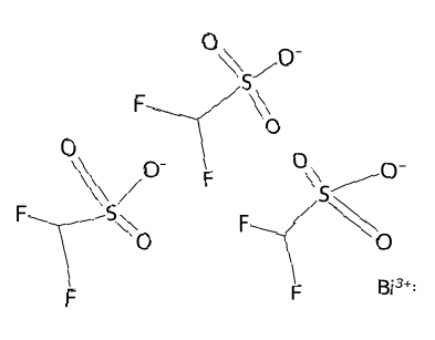 O=S(=O)([O-])C(F)F.O=S(=O)([O-])C(F)F.O=S(=O)([O-])C(F)F.[Bi+3]